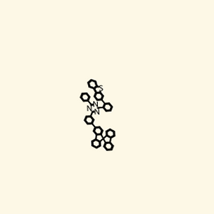 c1ccc(-c2nc(-c3cccc(-c4ccc5c(c4)-c4ccccc4C54c5ccccc5-c5ccccc54)c3)nc(-c3ccccc3-c3ccc4c(c3)sc3ccccc34)n2)cc1